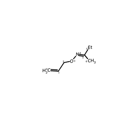 C=CCO/N=C(\C)CC